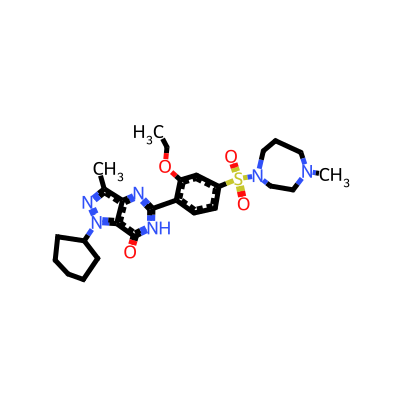 CCOc1cc(S(=O)(=O)N2CCCN(C)CC2)ccc1-c1nc2c(C)nn(C3CCCCC3)c2c(=O)[nH]1